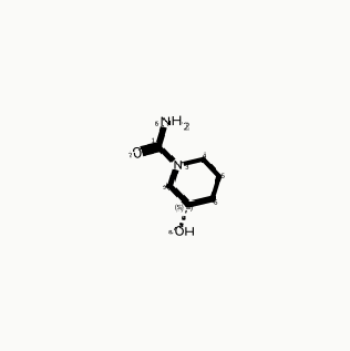 NC(=O)N1CC[CH][C@H](O)C1